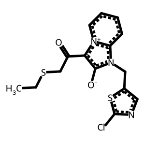 CCSCC(=O)c1c([O-])n(Cc2cnc(Cl)s2)c2cccc[n+]12